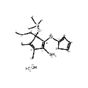 CCCC1(O[Si](C)(C)C)C(C)=C(C)C([SiH3])=[C]1[Zr][C]1=CC=CC1.Cl.Cl